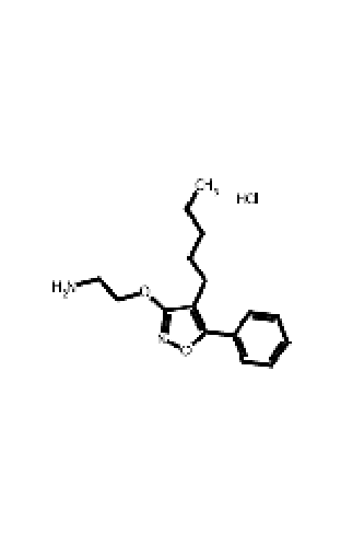 CCCCCc1c(OCCN)noc1-c1ccccc1.Cl